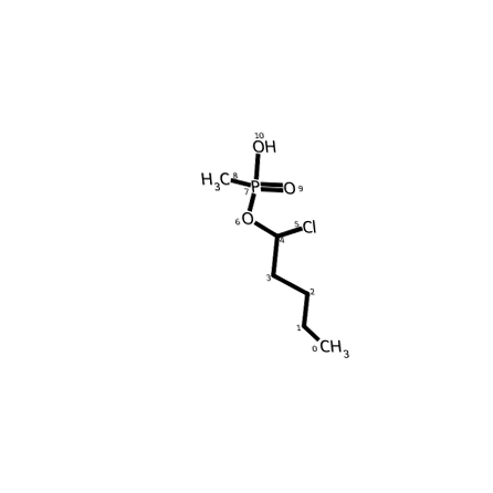 CCCCC(Cl)OP(C)(=O)O